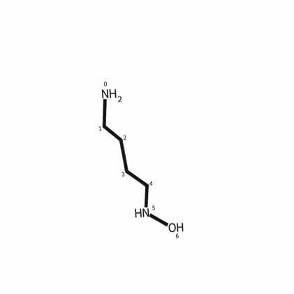 NCCCCNO